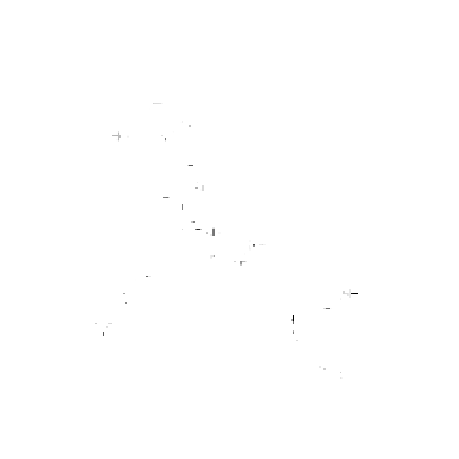 CC1(C)OB(O)c2cc(NC(=O)[C@@H](CCc3ccc(C(F)(F)F)cc3)NC(=O)[C@@H](N)CCCN(CCN)CCN)ccc21